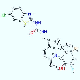 C=C(/C=C\C=C/CNC(=O)Nc1nc2ccc(Cl)cc2s1)N1CC(C)(C)c2c(Br)cc(F)c(O)c21